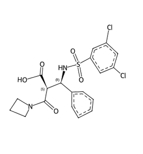 O=C(O)[C@H](C(=O)N1CCC1)[C@@H](NS(=O)(=O)c1cc(Cl)cc(Cl)c1)c1ccccc1